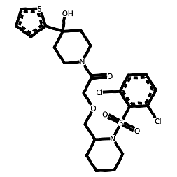 O=C(COCC1CCCCN1S(=O)(=O)c1c(Cl)cccc1Cl)N1CCC(O)(c2cccs2)CC1